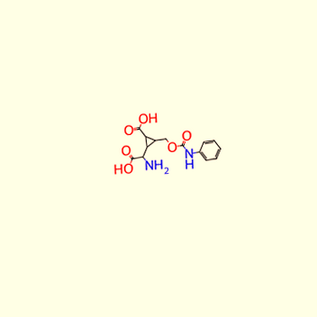 NC(C(=O)O)C1C(COC(=O)Nc2ccccc2)C1C(=O)O